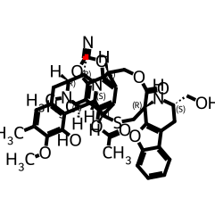 COc1c(C)cc2c(c1O)[C@@H]1[C@H]3[C@H]4SC[C@]5(N[C@H](CO)Cc6c5oc5ccccc65)C(=O)OC[C@H](c5c6c(c(C)c(OC(C)=O)c54)OCO6)N3[C@@H](C#N)[C@@H](C2)N1C